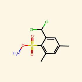 Cc1cc(C)c(S(=O)(=O)ON)c(C(Cl)Cl)c1